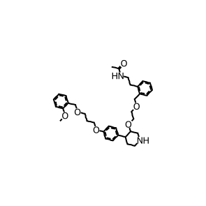 COc1ccccc1COCCCOc1ccc(C2CCNCC2OCCOCc2ccccc2CCNC(C)=O)cc1